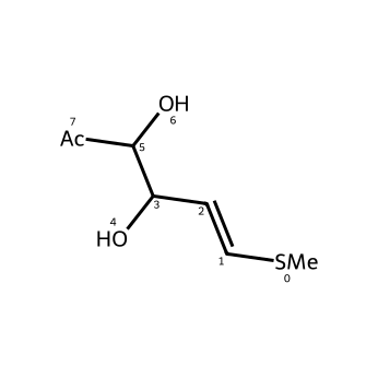 CS/C=C/C(O)C(O)C(C)=O